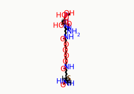 C=C[PH](O)(O)OC[C@@H]1CC(O)[C@H](n2cc(CCCNC(=O)CCOCCOCCOCCOCCNC(=O)CCCC[C@@H]3SC[C@@H]4NC(=O)N[C@@H]43)c(N)nc2=O)O1